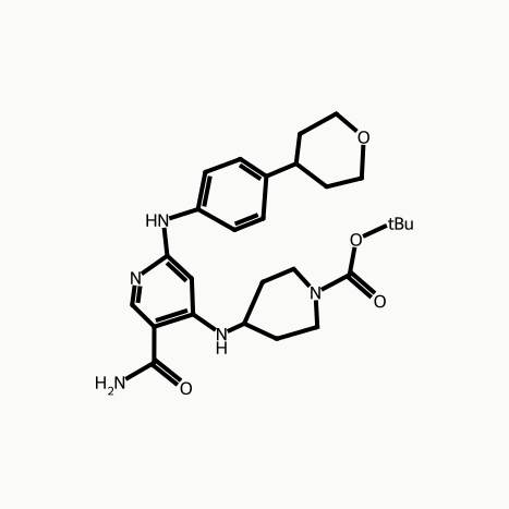 CC(C)(C)OC(=O)N1CCC(Nc2cc(Nc3ccc(C4CCOCC4)cc3)ncc2C(N)=O)CC1